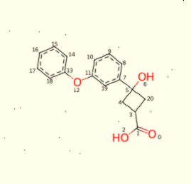 O=C(O)C1CC(O)(c2cccc(Oc3ccccc3)c2)C1